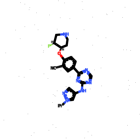 CC(C)n1cc(Nc2ncnc(-c3ccc(O[C@H]4CCNC[C@H]4F)c(C#N)c3)n2)cn1